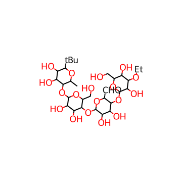 CCOC1C(O)C(CO)OC(OC2C(C=O)OC(OC3C(CO)OC(OC4C(C)OC(C(C)(C)C)C(O)C4O)C(O)C3O)C(O)C2O)C1O